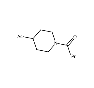 CC(=O)C1CCN(C(=O)C(C)C)CC1